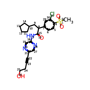 CS(=O)(=O)c1ccc(C(CC2CCCC2)C(=O)Nc2cnc(C#CCCO)cn2)cc1Cl